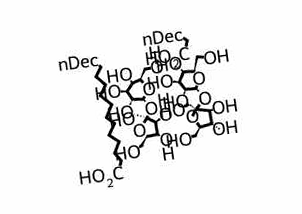 CCCCCCCCCCCC(=O)O.CCCCCCCCCCCCCCCCCCCCCC(=O)O.OC[C@H]1O[C@@](CO)(O[C@H]2O[C@H](CO)[C@@H](O)[C@H](O)[C@H]2O)[C@@H](O)[C@@H]1O.OC[C@H]1O[C@@](CO)(O[C@H]2O[C@H](CO)[C@@H](O)[C@H](O)[C@H]2O)[C@@H](O)[C@@H]1O